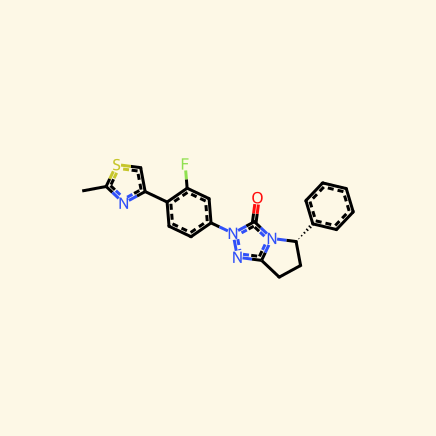 Cc1nc(-c2ccc(-n3nc4n(c3=O)[C@H](c3ccccc3)CC4)cc2F)cs1